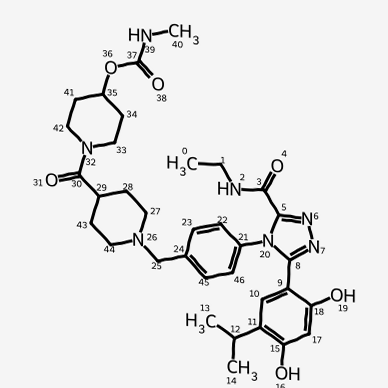 CCNC(=O)c1nnc(-c2cc(C(C)C)c(O)cc2O)n1-c1ccc(CN2CCC(C(=O)N3CCC(OC(=O)NC)CC3)CC2)cc1